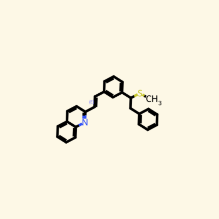 CSC(Cc1ccccc1)c1cccc(/C=C/c2ccc3ccccc3n2)c1